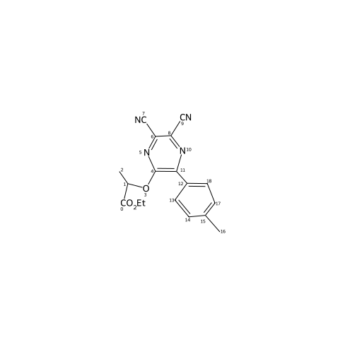 CCOC(=O)C(C)Oc1nc(C#N)c(C#N)nc1-c1ccc(C)cc1